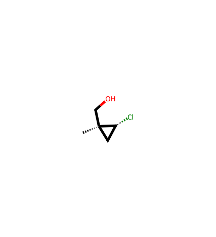 C[C@@]1(CO)C[C@H]1Cl